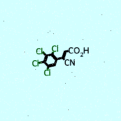 N#CC(=CC(=O)O)c1cc(Cl)c(Cl)c(Cl)c1Cl